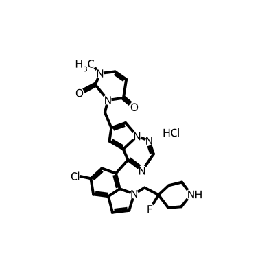 Cl.Cn1ccc(=O)n(Cc2cc3c(-c4cc(Cl)cc5ccn(CC6(F)CCNCC6)c45)ncnn3c2)c1=O